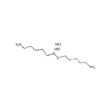 Cl.Cl.NCCCCCSSCCCCCN